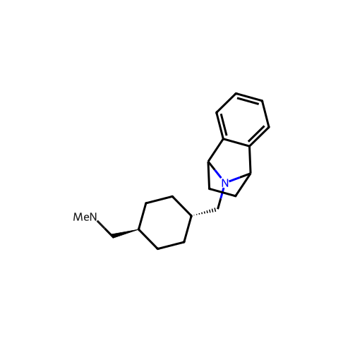 CNC[C@H]1CC[C@H](CN2C3CCC2c2ccccc23)CC1